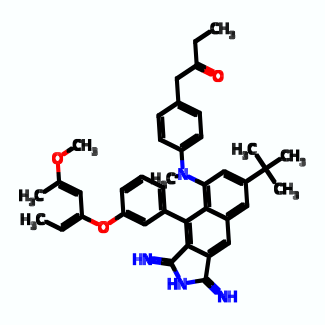 C/C=C(\C=C(/C)OC)Oc1cccc(-c2c3c(cc4cc(C(C)(C)C)cc(N(C)c5ccc(CC(=O)CC)cc5)c24)C(=N)NC3=N)c1